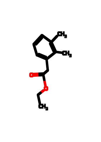 CCOC(=O)Cc1cccc(C)c1C